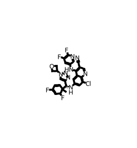 CC1([C@H](Nc2cc(Cl)c3ncc(C#N)c(Nc4cnc(F)c(F)c4)c3c2)c2cn(C3COC3)nn2)C=CC(F)=CC1F